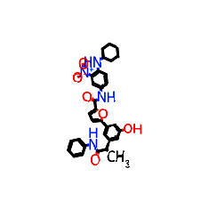 CC(C(=O)Nc1ccccc1)c1cc(O)cc(-c2ccc(C(=O)Nc3ccc(NC4CCCCC4)c([N+](=O)[O-])c3)o2)c1